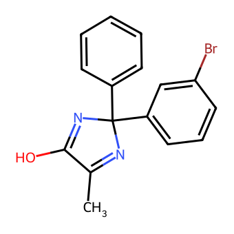 CC1=NC(c2ccccc2)(c2cccc(Br)c2)N=C1O